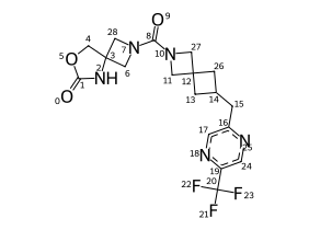 O=C1NC2(CO1)CN(C(=O)N1CC3(CC(Cc4cnc(C(F)(F)F)cn4)C3)C1)C2